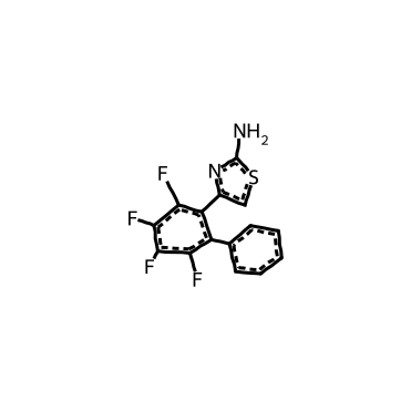 Nc1nc(-c2c(F)c(F)c(F)c(F)c2-c2ccccc2)cs1